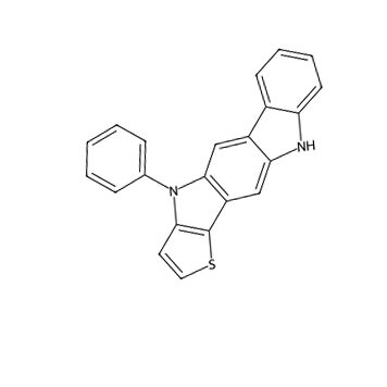 c1ccc(-n2c3cc4c(cc3c3sccc32)[nH]c2ccccc24)cc1